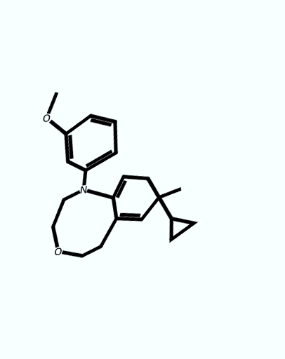 COc1cccc(N2CCOCCC3=CC(C)(C4CC4)CC=C32)c1